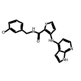 O=C(NCc1cccc(Cl)c1)c1sccc1Nc1ccnc2[nH]ccc12